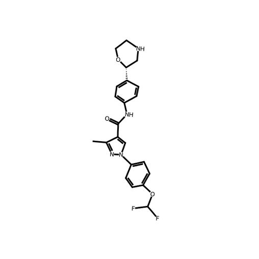 Cc1nn(-c2ccc(OC(F)F)cc2)cc1C(=O)Nc1ccc([C@H]2CNCCO2)cc1